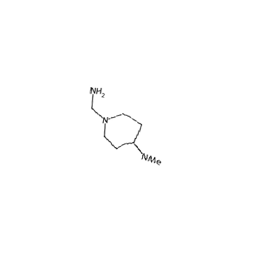 CNC1CCN(CN)CC1